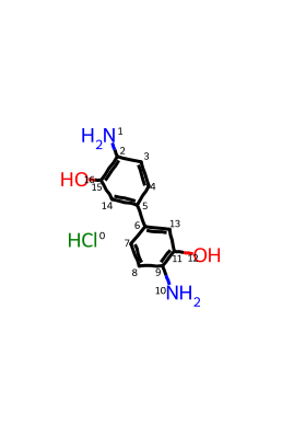 Cl.Nc1ccc(-c2ccc(N)c(O)c2)cc1O